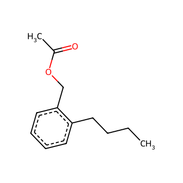 CCCCc1ccccc1COC(C)=O